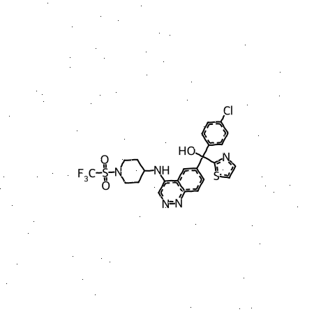 O=S(=O)(N1CCC(Nc2cnnc3ccc(C(O)(c4ccc(Cl)cc4)c4nccs4)cc23)CC1)C(F)(F)F